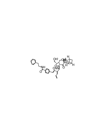 C=C/C=C(CN1O[C@@H](CO)[C@@H]([C@H](C)O)[C@H]1C(=O)N[C@H]1C[C@H]2C[C@@H]([C@@H]1C)C2(C)C)\C(=C\c1ccc(C(=O)NCCc2ccccc2)cc1)OC